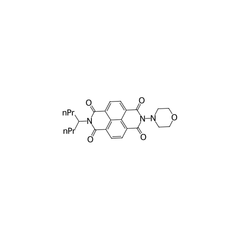 CCCC(CCC)N1C(=O)c2ccc3c4c(ccc(c24)C1=O)C(=O)N(N1CCOCC1)C3=O